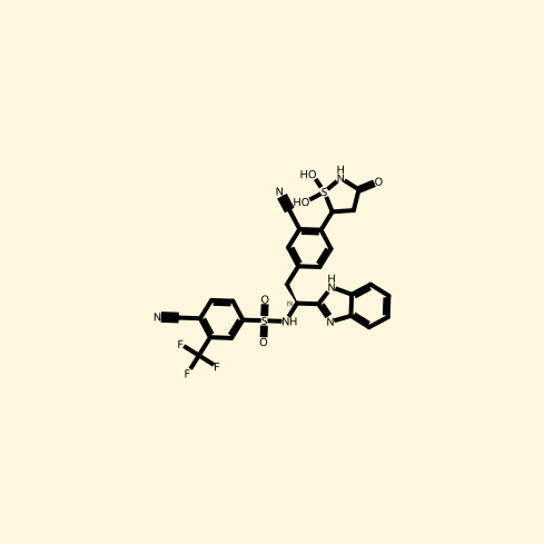 N#Cc1cc(C[C@H](NS(=O)(=O)c2ccc(C#N)c(C(F)(F)F)c2)c2nc3ccccc3[nH]2)ccc1C1CC(=O)NS1(O)O